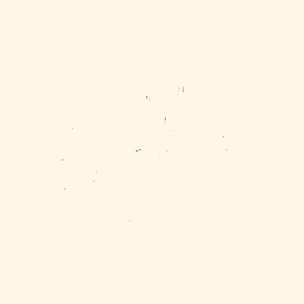 C=CC(=O)OCC(C)(C)C(=O)C(=O)N1CCNC[C@H]1C(=O)O[C@H](CCc1ccc(OC)c(OC)c1)c1cccc(OCC(=O)O)c1